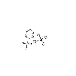 FC(F)(F)c1ccccn1.O=S(=O)(Cl)Cl